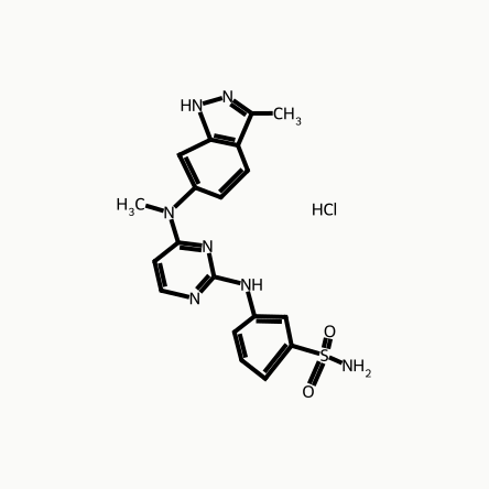 Cc1n[nH]c2cc(N(C)c3ccnc(Nc4cccc(S(N)(=O)=O)c4)n3)ccc12.Cl